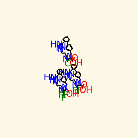 CCCc1nc(C(F)(F)F)c(C(=O)O)n1Cc1ccc(-c2ccccc2-c2nnn[nH]2)cc1.CCCc1nc(C(F)(F)F)c(CO)n1Cc1ccc(-c2ccccc2-c2nnn[nH]2)cc1.CCCc1nc(Cl)c(C(=O)O)n1Cc1ccc(-c2ccccc2-c2nnn[nH]2)cc1